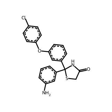 Nc1cccc(C2(c3cccc(Oc4ccc(Cl)cc4)c3)NC(=O)CS2)c1